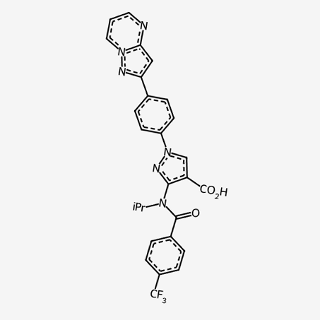 CC(C)N(C(=O)c1ccc(C(F)(F)F)cc1)c1nn(-c2ccc(-c3cc4ncccn4n3)cc2)cc1C(=O)O